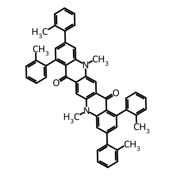 Cc1ccccc1-c1cc(-c2ccccc2C)c2c(=O)c3cc4c(cc3n(C)c2c1)c(=O)c1c(-c2ccccc2C)cc(-c2ccccc2C)cc1n4C